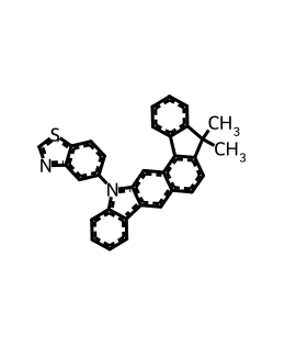 CC1(C)c2ccccc2-c2c1ccc1cc3c4ccccc4n(-c4ccc5scnc5c4)c3cc21